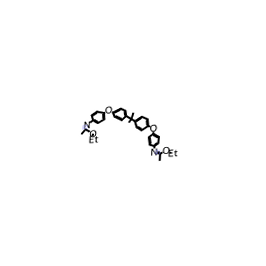 CCO/C(C)=N\c1ccc(Oc2ccc(C(C)(C)c3ccc(Oc4ccc(/N=C(/C)OCC)cc4)cc3)cc2)cc1